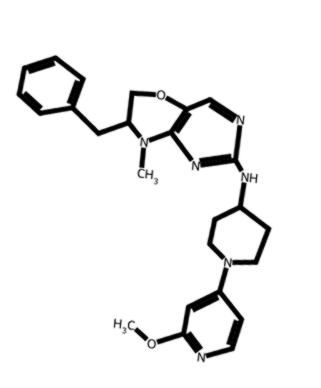 COc1cc(N2CCC(Nc3ncc4c(n3)N(C)C(Cc3ccccc3)CO4)CC2)ccn1